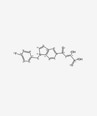 O=C(O)/C(O)=C/C(=O)c1ccc2c(ccn2Cc2ccc(F)cc2)c1